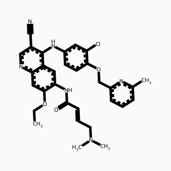 CCOc1cc2ncc(C#N)c(Nc3ccc(OCc4cccc(C)n4)c(Cl)c3)c2cc1NC(=O)/C=C/CN(C)C